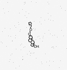 C[C@]12CC[C@H](OCCOCCN3CCCC3)CC1CCC1C2CC[C@@]2(C)C1CC[C@@H]2O